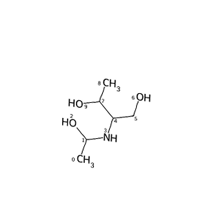 CC(O)NC(CO)C(C)O